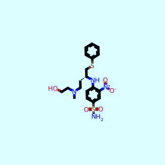 CN(CCO)CC[C@H](CSc1ccccc1)Nc1ccc(S(N)(=O)=O)cc1[N+](=O)[O-]